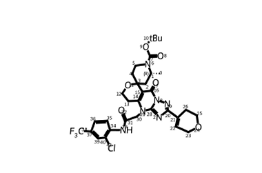 C[C@@H]1CC2(CCN1C(=O)OC(C)(C)C)OCCc1c2c(=O)n2nc(C3=CCOCC3)nc2n1CC(=O)Nc1ccc(C(F)(F)F)cc1Cl